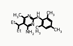 CCC(CC)c1c(C)nc(Nc2c(C)cc(C)cc2C)nc1N